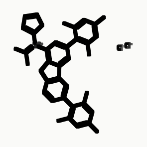 C[C](C)=[Ti+2]([C]1=CC=CC1)[c]1cc(-c2c(C)cc(C)cc2C)cc2c1Cc1ccc(-c3c(C)cc(C)cc3C)cc1-2.[Cl-].[Cl-]